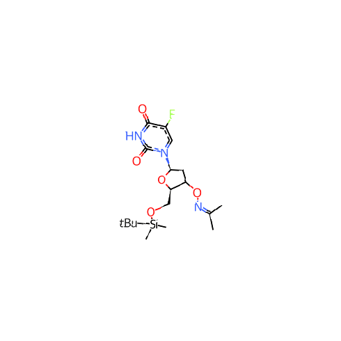 CC(C)=NOC1C[C@H](n2cc(F)c(=O)[nH]c2=O)O[C@@H]1CO[Si](C)(C)C(C)(C)C